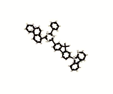 CC1(C)c2cc(-c3nc(-c4ccccc4)nc(-c4cccc5c4ccc4ccccc45)n3)ccc2-c2ccc(-n3c4ccccc4c4cccnc43)cc21